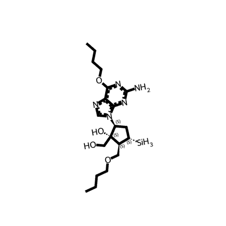 CCCCOC[C@@H]1[C@@H]([SiH3])C[C@H](n2cnc3c(OCCCC)nc(N)nc32)[C@]1(O)CO